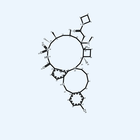 CO[C@@]1(CC(=O)N2CCC2)CC(C)C[C@H](C)[C@@H](C)S(=O)(=O)NC(=O)c2ccc3c(c2)N(CCCCc2cc(Cl)ccc2CO3)C[C@@H]2CC[C@H]21